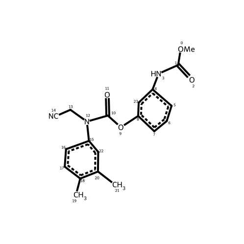 COC(=O)Nc1cccc(OC(=O)N(CC#N)c2ccc(C)c(C)c2)c1